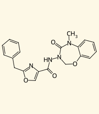 CN1C(=O)N(NC(=O)c2coc(Cc3ccccc3)n2)COc2ccccc21